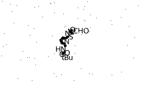 CC(C)(C)OC(=O)NCc1cccc(C2=N[C@](C)(OC=O)CS2)n1